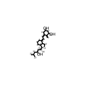 C=C1/C(=C\C=C2CCC[C@@]3(C)C2CC[C@@H]3[C@H](C)C[C@H](O)CC(C)C)C[C@@H](O)C[C@H]1O